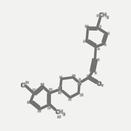 Cc1ccc(C#CC(=O)N2CCN(c3cc(Cl)ccc3C)CC2)cc1